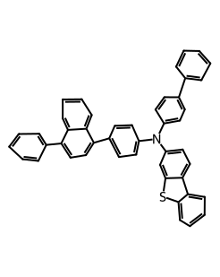 c1ccc(-c2ccc(N(c3ccc(-c4ccc(-c5ccccc5)c5ccccc45)cc3)c3ccc4c(c3)sc3ccccc34)cc2)cc1